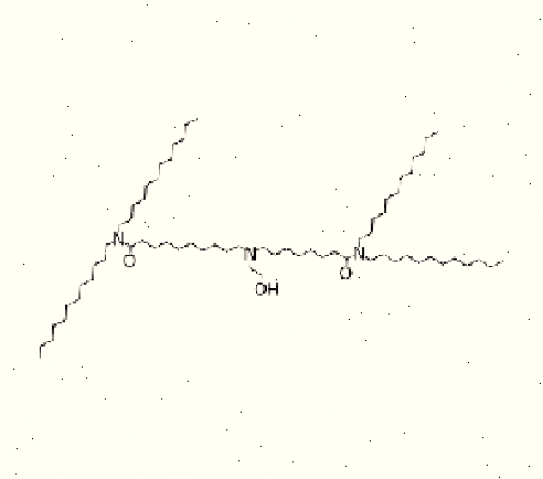 CCCCCCCCCCCCN(CCCCCCCCCCCC)C(=O)CCCCCCCCCN(CCO)CCCCCCCC(=O)N(CCCCCCCCCCCC)CCCCCCCCCCCC